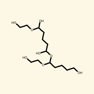 OCCCCC(OCCO)OC(O)CCCC(O)OCCO